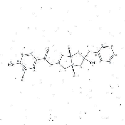 O=C(CN1C[C@@H]2CC(O)(Cc3ccccc3)C[C@@H]2C1)c1ccc(O)c(F)n1